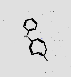 C/C1=C\C=C=C(Nc2ccccc2)/C=C\C1